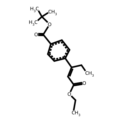 CCOC(=O)/C=C(\CC)c1ccc(C(=O)OC(C)(C)C)cc1